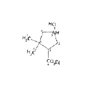 CCOC(=O)C1CNCC1(C)C.Cl